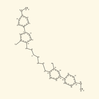 Cc1cc(-c2ccc(OC(F)(F)F)cc2)ccc1CCCCCCCc1ccc(-c2ccc(OC(F)(F)F)cc2)cc1C